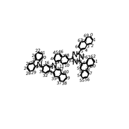 c1ccc2cc(-c3nc(-c4ccc5c(-n6c7cc(-n8c9ccccc9c9ccccc98)ccc7c7cc8ccccc8cc76)cccc5c4)nc(-c4cc5ccccc5c5ccccc45)n3)ccc2c1